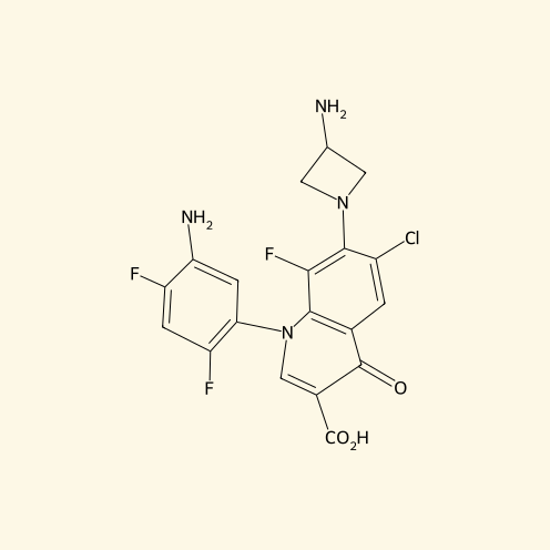 Nc1cc(-n2cc(C(=O)O)c(=O)c3cc(Cl)c(N4CC(N)C4)c(F)c32)c(F)cc1F